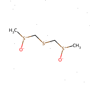 C[S+]([O-])CSC[S+](C)[O-]